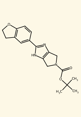 CC(C)(C)OC(=O)N1Cc2nc(-c3ccc4c(c3)CCO4)[nH]c2C1